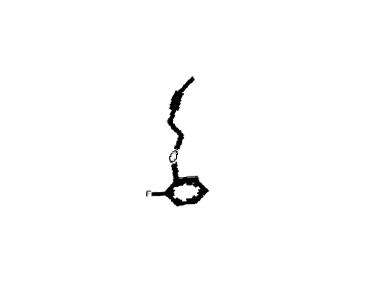 CC#CCCOc1ccc[c]c1F